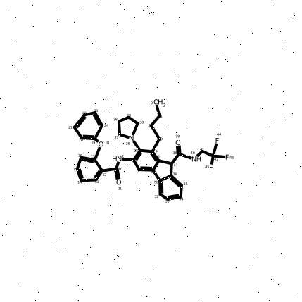 CCCCc1c2c(cc(NC(=O)c3ccccc3Oc3ccccc3)c1N1CCCC1)-c1ccccc1C2C(=O)NCC(F)(F)F